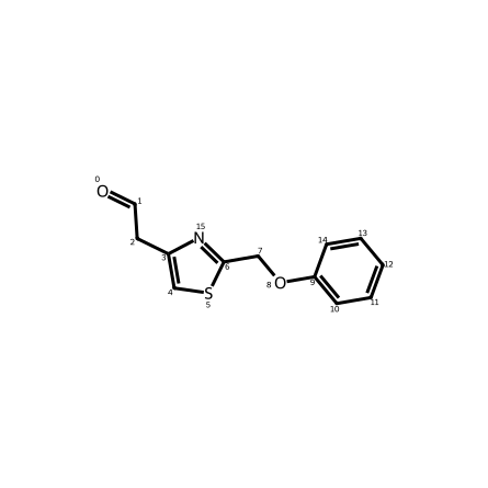 O=CCc1csc(COc2ccccc2)n1